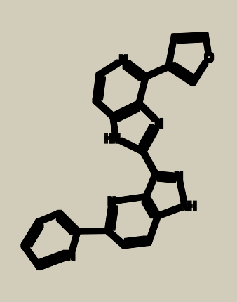 c1ccc(-c2ccc3[nH]nc(-c4nc5c(-c6ccoc6)nccc5[nH]4)c3n2)nc1